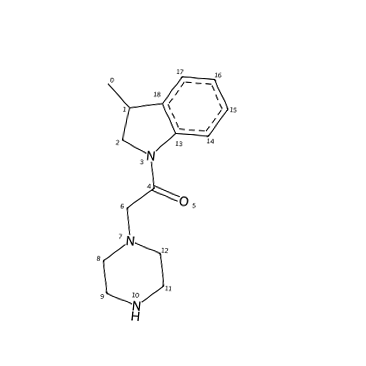 CC1CN(C(=O)CN2CCNCC2)c2ccccc21